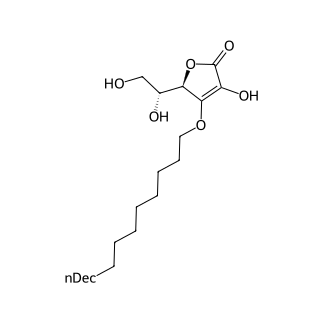 CCCCCCCCCCCCCCCCCCOC1=C(O)C(=O)O[C@@H]1[C@H](O)CO